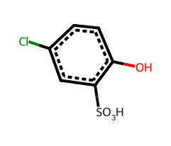 O=S(=O)(O)c1cc(Cl)ccc1O